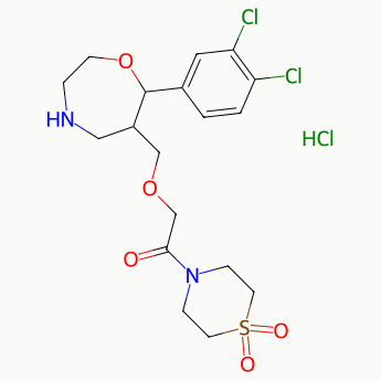 Cl.O=C(COCC1CNCCOC1c1ccc(Cl)c(Cl)c1)N1CCS(=O)(=O)CC1